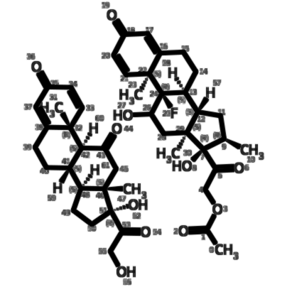 CC(=O)OCC(=O)[C@@]1(O)[C@H](C)C[C@H]2[C@@H]3CCC4=CC(=O)C=C[C@]4(C)[C@@]3(F)C(O)C[C@@]21C.C[C@]12C=CC(=O)C=C1CC[C@@H]1[C@@H]2C(=O)C[C@@]2(C)[C@H]1CC[C@]2(O)C(=O)CO